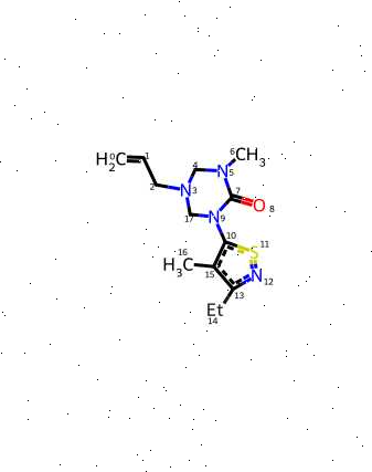 C=CCN1CN(C)C(=O)N(c2snc(CC)c2C)C1